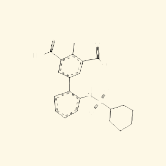 Cc1c(C(=O)O)cc(-c2ccccc2NS(=O)(=O)C2CCCCC2)cc1C(=O)O